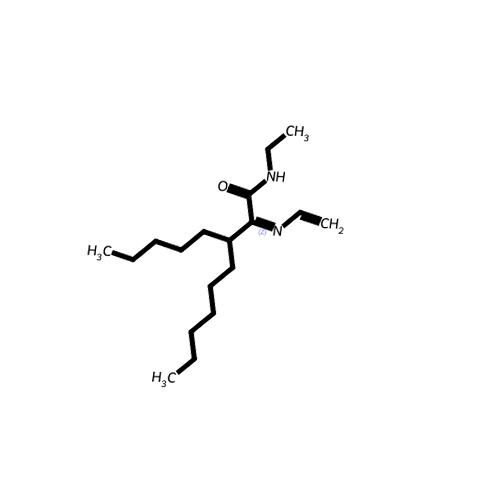 C=C/N=C(\C(=O)NCC)C(CCCCC)CCCCCC